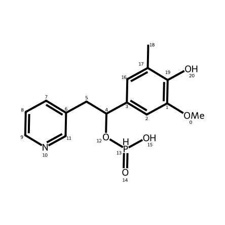 COc1cc(C(Cc2cccnc2)O[PH](=O)O)cc(C)c1O